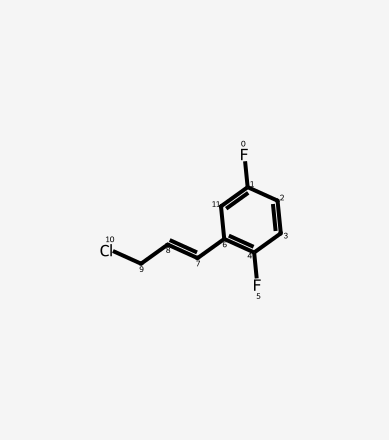 Fc1ccc(F)c(C=CCCl)c1